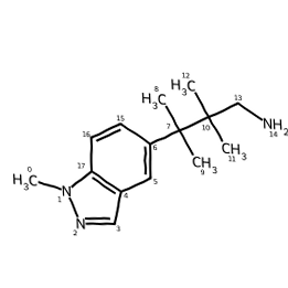 Cn1ncc2cc(C(C)(C)C(C)(C)CN)ccc21